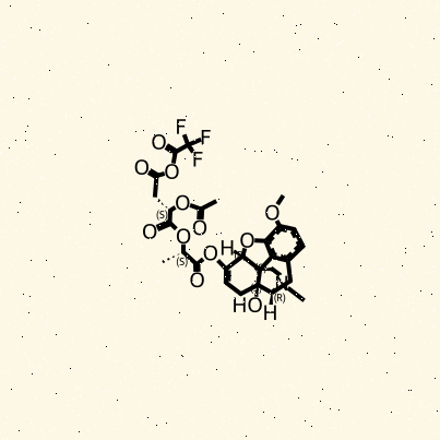 COc1ccc2c3c1O[C@H]1C(OC(=O)[C@H](C)OC(=O)[C@H](CC(=O)OC(=O)C(F)(F)F)OC(C)=O)=CC[C@@]4(O)[C@@H](C2)N(C)CC[C@]314